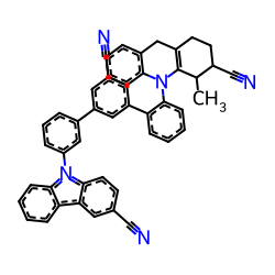 CC1C2=C(CCC1C#N)Cc1ccccc1N2c1ccccc1-c1cc(C#N)cc(-c2cccc(-n3c4ccccc4c4cc(C#N)ccc43)c2)c1